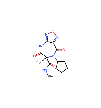 CC(C)(C)NC(=O)C1(C)C(=O)Nc2nonc2C(=O)N1C1CCCC1